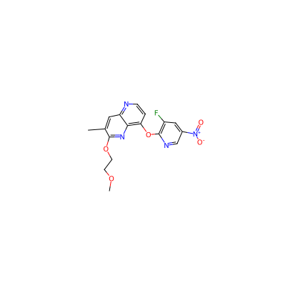 COCCOc1nc2c(Oc3ncc([N+](=O)[O-])cc3F)ccnc2cc1C